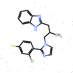 CC(Cc1nc2ccccc2[nH]1)Cn1ccnc1-c1ccc(F)cc1Cl